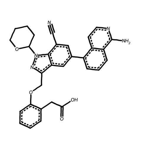 N#Cc1cc(-c2cccc3c(N)nccc23)cc2c(COc3ccccc3CC(=O)O)nn(C3CCCCO3)c12